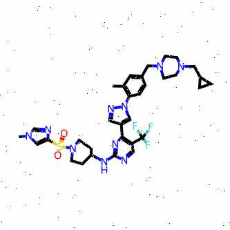 Cc1cc(CN2CCN(CC3CC3)CC2)ccc1-n1cc(-c2nc(NC3CCN(S(=O)(=O)c4cn(C)cn4)CC3)ncc2C(F)(F)F)cn1